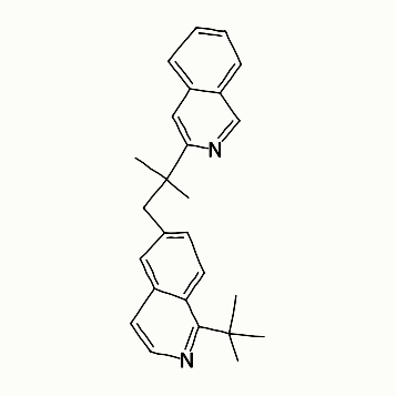 CC(C)(C)c1nccc2cc(CC(C)(C)c3cc4ccccc4cn3)ccc12